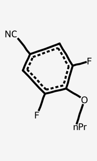 CCCOc1c(F)cc(C#N)cc1F